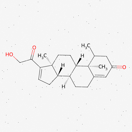 CC1CC(=O)C=C2CC[C@H]3[C@@H]4CC=C(C(=O)CO)[C@@]4(C)CC[C@@H]3[C@]21C